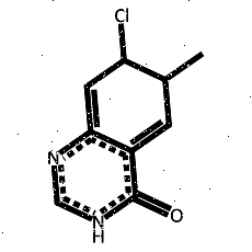 CC1C=c2c(nc[nH]c2=O)=CC1Cl